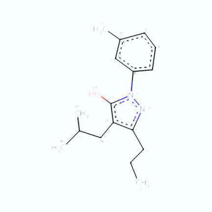 CCCc1nn(-c2cccc(C)c2)c(O)c1CC(C)C